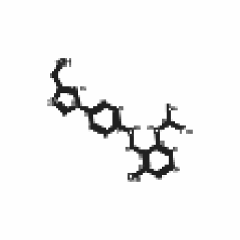 OCc1ncn(-c2ccc(OCc3c(Cl)cccc3OC(F)F)cc2)n1